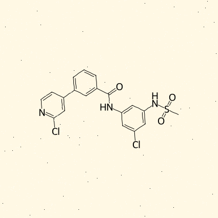 CS(=O)(=O)Nc1cc(Cl)cc(NC(=O)c2cccc(-c3ccnc(Cl)c3)c2)c1